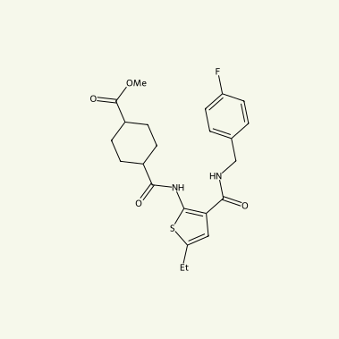 CCc1cc(C(=O)NCc2ccc(F)cc2)c(NC(=O)C2CCC(C(=O)OC)CC2)s1